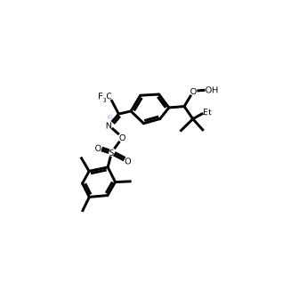 CCC(C)(C)C(OO)c1ccc(/C(=N\OS(=O)(=O)c2c(C)cc(C)cc2C)C(F)(F)F)cc1